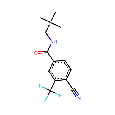 C[Si](C)(C)CNC(=O)c1ccc(C#N)c(C(F)(F)F)c1